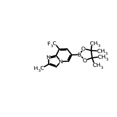 Cc1cn2cc(B3OC(C)(C)C(C)(C)O3)cc(C(F)(F)F)c2n1